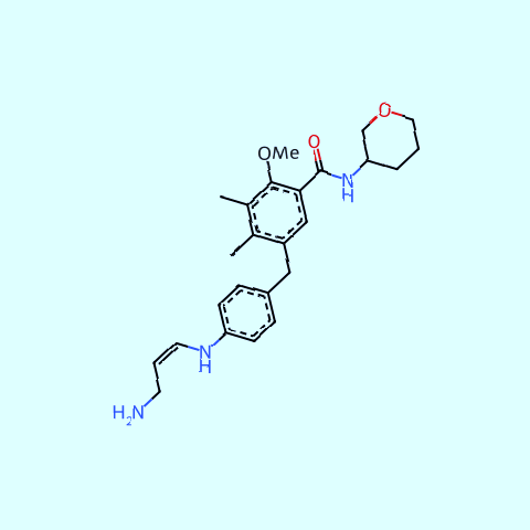 COc1c(C(=O)NC2CCCOC2)cc(Cc2ccc(N/C=C\CN)cc2)c(C)c1C